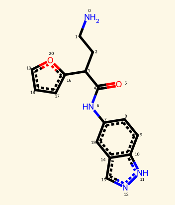 NCCC(C(=O)Nc1ccc2[nH]ncc2c1)c1ccco1